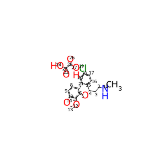 CNCCC(Oc1cccc2c1OCO2)c1ccc(Cl)cc1.O=C(O)C(=O)O